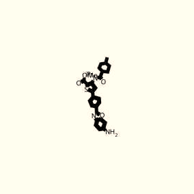 COC(=O)c1sc(-c2ccc(-c3nc4ccc(N)cc4o3)cc2)cc1N(C(=O)C1CCC(C)CC1)C(C)C